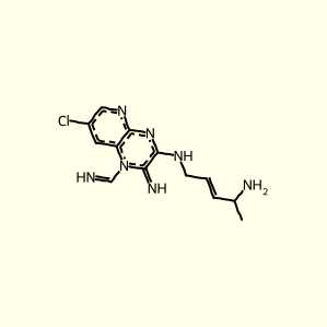 CC(N)C=CCNc1nc2ncc(Cl)cc2n(C=N)c1=N